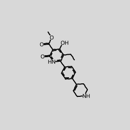 CCc1c(-c2ccc(C3=CCNCC3)cc2)[nH]c(=O)c(C(=O)OC)c1O